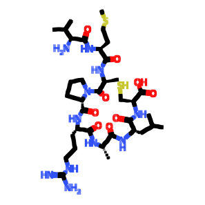 CSCC[C@H](NC(=O)[C@@H](N)C(C)C)C(=O)N[C@@H](C)C(=O)N1CCC[C@H]1C(=O)N[C@@H](CCCNC(=N)N)C(=O)N[C@@H](C)C(=O)N[C@@H](CC(C)C)C(=O)N[C@@H](CS)C(=O)O